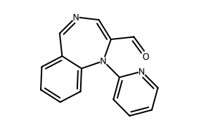 O=CC1=CN=Cc2ccccc2N1c1ccccn1